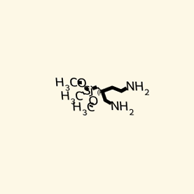 CO[Si](C)(C[C@@H](CN)CCN)OC